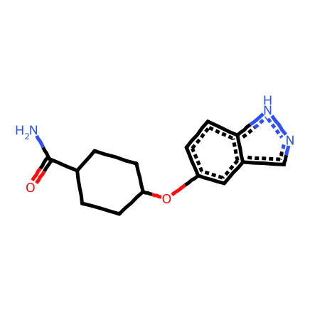 NC(=O)C1CCC(Oc2ccc3[nH]ncc3c2)CC1